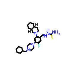 NC(=S)N/N=C/c1cc(F)c(N2CCN(CC3CCCCC3)CC2)cc1N1CC[C@@H]2CCCC[C@@H]2C1